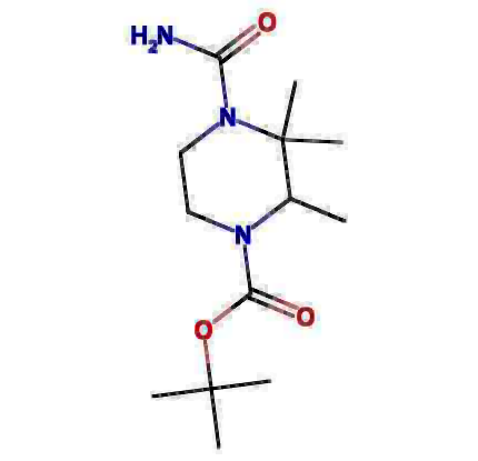 CC1N(C(=O)OC(C)(C)C)CCN(C(N)=O)C1(C)C